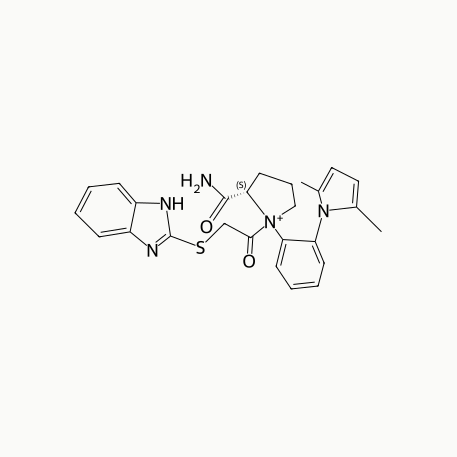 Cc1ccc(C)n1-c1ccccc1[N+]1(C(=O)CSc2nc3ccccc3[nH]2)CCC[C@H]1C(N)=O